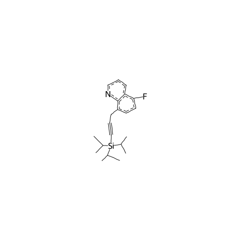 CC(C)[Si](C#CCc1ccc(F)c2cccnc12)(C(C)C)C(C)C